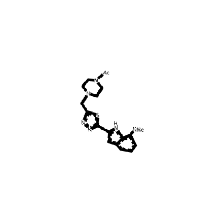 CNc1cccc2cc(-c3nnc(CN4CCN(C(C)=O)CC4)s3)[nH]c12